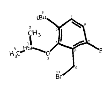 C[SiH](C)Oc1c(C(C)(C)C)ccc(Br)c1CBr